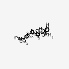 Cc1c(-c2nc3c(s2)CN(C(=O)CN(C)C(C)C)C3)cccc1-c1cccc(NC(=O)c2nc3c(n2C)CCNC3)c1Cl